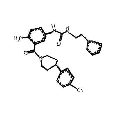 Cc1ccc(NC(=O)NCCc2ccccc2)cc1C(=O)N1CCC(c2ccc(C#N)cc2)CC1